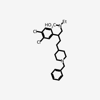 CCN(CC(CCC1CCN(Cc2ccccc2)CC1)c1ccc(Cl)c(Cl)c1)C(=O)O